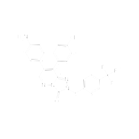 Nc1ccc(-c2cnn3c(=O)n(Cc4ccc(C(F)(F)F)cc4)nc3c2-c2ccc(Cl)cc2)cc1